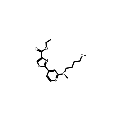 CCOC(=O)c1csc(-c2ccnc(N(C)CCCCO)c2)n1